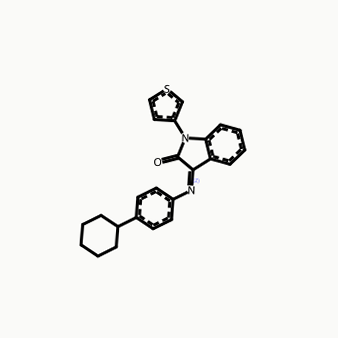 O=C1/C(=N\c2ccc(C3CCCCC3)cc2)c2ccccc2N1c1ccsc1